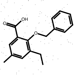 CCc1cc(C)cc(C(=O)O)c1OCc1ccccc1